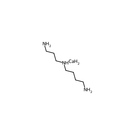 NCCCCNCCCN.[CaH2]